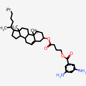 CC(C)CCCC(C)C1CCC2C3CC=C4CC(OC(=O)CCCOC(=O)c5cc(N)cc(N)c5)CCC4(C)C3CCC12C